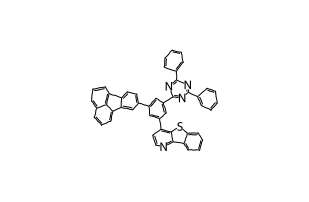 c1ccc(-c2nc(-c3ccccc3)nc(-c3cc(-c4ccc5c(c4)-c4cccc6cccc-5c46)cc(-c4ccnc5c4sc4ccccc45)c3)n2)cc1